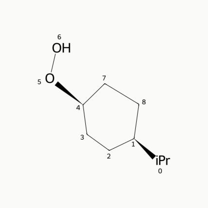 CC(C)[C@H]1CC[C@@H](OO)CC1